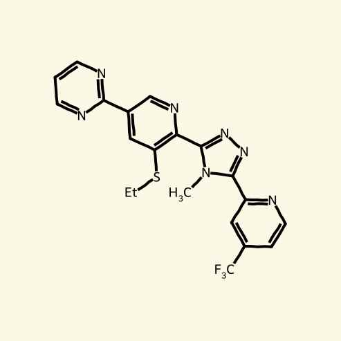 CCSc1cc(-c2ncccn2)cnc1-c1nnc(-c2cc(C(F)(F)F)ccn2)n1C